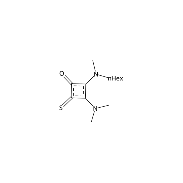 CCCCCCN(C)c1c(N(C)C)c(=S)c1=O